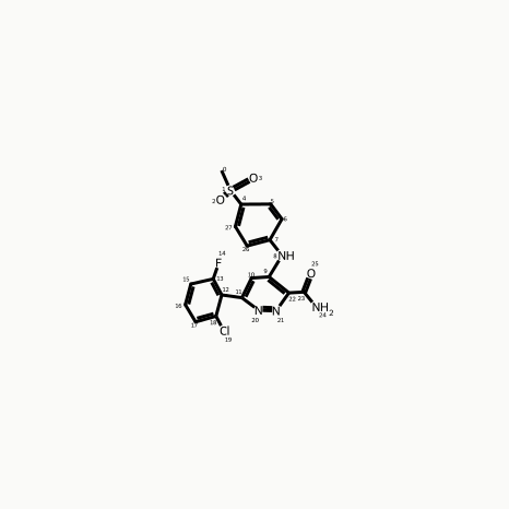 CS(=O)(=O)c1ccc(Nc2cc(-c3c(F)cccc3Cl)nnc2C(N)=O)cc1